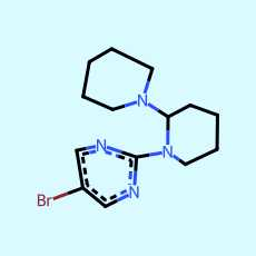 Brc1cnc(N2CCCCC2N2CCCCC2)nc1